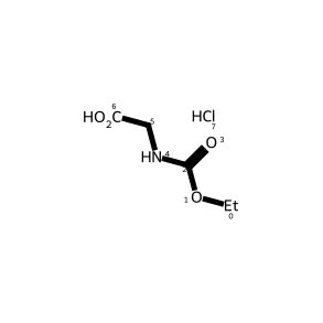 CCOC(=O)NCC(=O)O.Cl